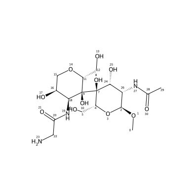 CO[C@H]1O[C@H](CO)[C@](O)([C@@]2(O)[C@@H](CO)OC[C@H](O)[C@@H]2NC(=O)CN)[C@H](O)[C@@H]1NC(C)=O